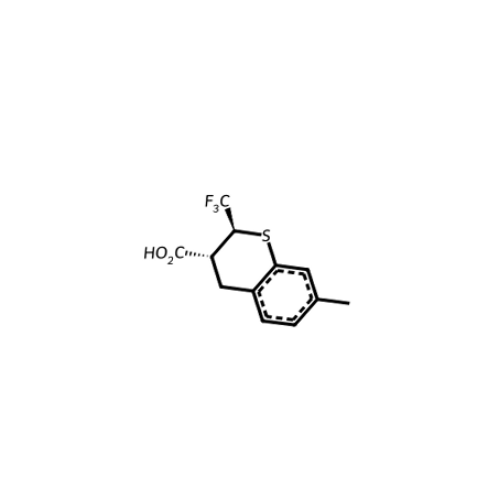 Cc1ccc2c(c1)S[C@H](C(F)(F)F)[C@@H](C(=O)O)C2